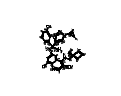 BC(Nc1cc(Cl)c2ncc(C#N)c(NCC3(C)CCC3)c2c1)(c1cccc(C#N)c1)c1cn(C2CC2)nn1